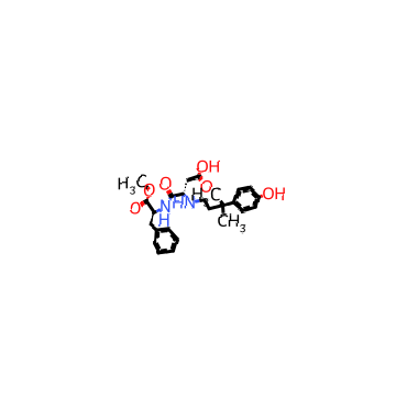 COC(=O)[C@H](Cc1ccccc1)NC(=O)[C@H](CC(=O)O)NCCC(C)(C)c1ccc(O)cc1